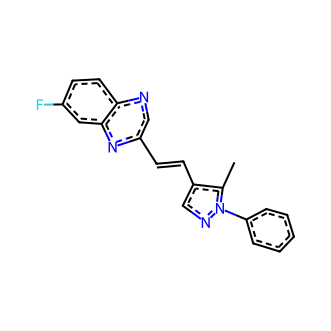 Cc1c(/C=C/c2cnc3ccc(F)cc3n2)cnn1-c1ccccc1